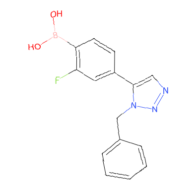 OB(O)c1ccc(-c2cnnn2Cc2ccccc2)cc1F